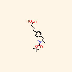 CC(Cc1ccc(CCCC(=O)O)cc1)N(C)C(=O)OC(C)(C)C